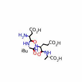 CC[C@H](C)[C@H](NC(=O)[C@@H](N)CC(=O)O)C(=O)N[C@@H](CCC(=O)O)C(=O)N[C@@H](C)C(=O)O